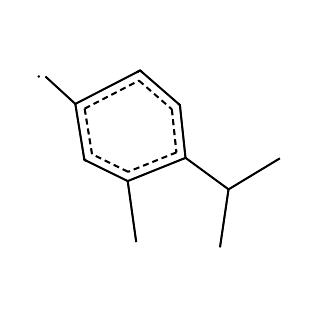 [CH2]c1ccc(C(C)C)c(C)c1